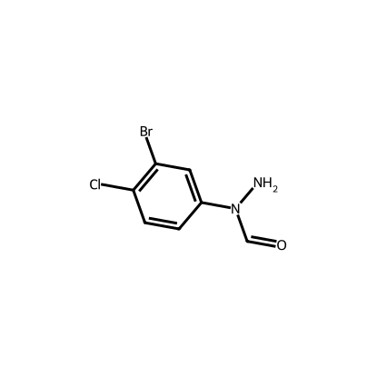 NN(C=O)c1ccc(Cl)c(Br)c1